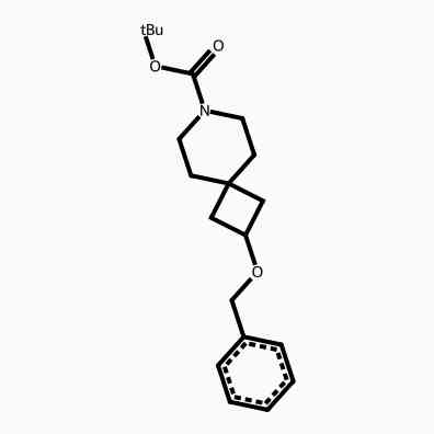 CC(C)(C)OC(=O)N1CCC2(CC1)CC(OCc1ccccc1)C2